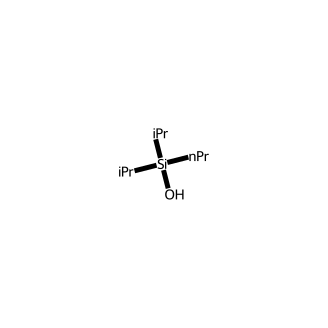 CCC[Si](O)(C(C)C)C(C)C